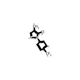 Cc1cnn(-c2ccc(C(F)(F)F)cc2)c1Cl